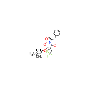 C[Si](C)(C)CCOC[C@H](CC(F)(F)F)C(=O)n1c(Cc2ccccc2)coc1=O